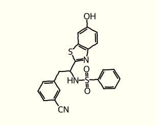 N#Cc1cccc(CC(NS(=O)(=O)c2ccccc2)c2nc3ccc(O)cc3s2)c1